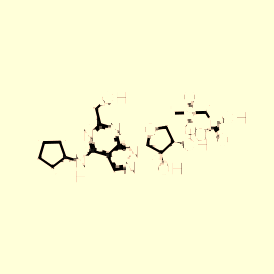 O=P(O)(O)CS(=O)(=O)C[C@H]1O[C@@H](n2ncc3c(NC4CCCC4)nc(CO)nc32)[C@H](O)[C@@H]1O